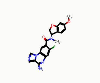 CN(C(=O)c1cc2c(cc1F)nc(N)c1cncn12)[C@@H]1COc2cc(OC(F)(F)F)ccc21